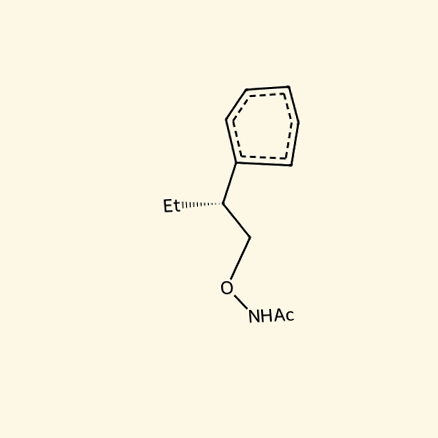 CC[C@@H](CONC(C)=O)c1ccccc1